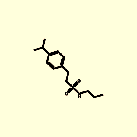 CCCNS(=O)(=O)CCc1ccc(C(C)C)cc1